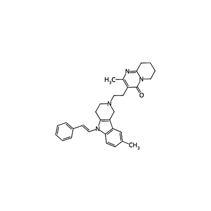 Cc1ccc2c(c1)c1c(n2/C=C/c2ccccc2)CCN(CCc2c(C)nc3n(c2=O)CCCC3)C1